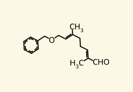 C/C(C=O)=C\CC/C(C)=C/COCc1ccccc1